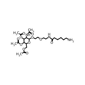 CC(=O)NC1C(OCCOCCNC(=O)CCCCCN)OC(COC(C)=O)C(OC(C)=O)C1OC(C)=O